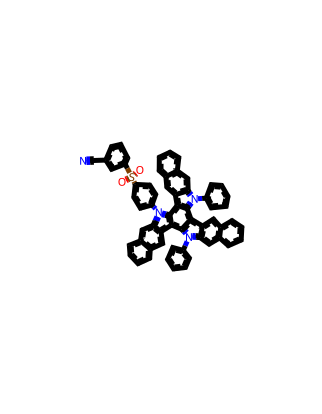 N#Cc1cccc(S(=O)(=O)c2ccc(-n3c4cc5ccccc5cc4c4c5c(c6cc7ccccc7cc6n5-c5ccccc5)c5c(c6cc7ccccc7cc6n5-c5ccccc5)c43)cc2)c1